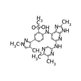 Cc1nc2c(Nc3ccc(-c4nn(C)cc4C)cc3S(C)(=O)=O)cc(Nc3cnc(C)c(C)n3)nc2[nH]1